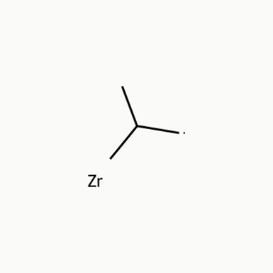 [CH2]C(C)C.[Zr]